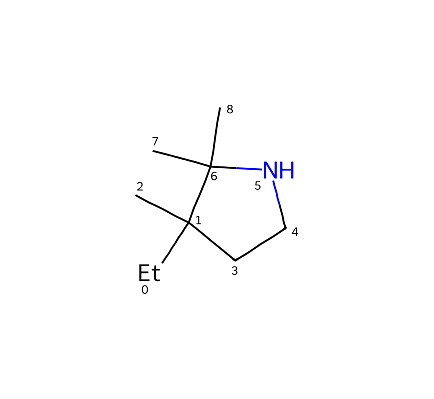 CCC1(C)CCNC1(C)C